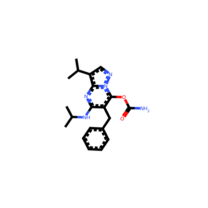 CC(C)Nc1nc2c(C(C)C)cnn2c(OC(N)=O)c1Cc1ccccc1